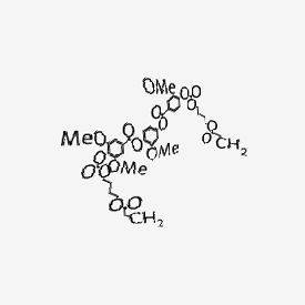 C=CC(=O)OCCCCOC(=O)Oc1ccc(C(=O)Oc2ccc(OC(=O)c3cc(OC)c(OC(=O)OCCCCOC(=O)C=C)c(OC)c3)c(OC)c2)cc1OC